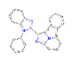 c1ccc(-n2c(-c3nc4cccc5c6ccccc6c3n45)nc3ccccc32)cc1